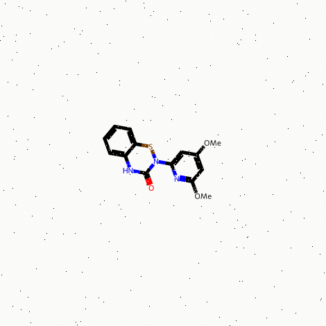 COc1cc(OC)nc(N2Sc3ccccc3NC2=O)c1